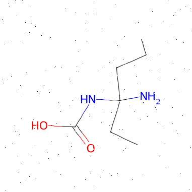 CCCC(N)(CC)NC(=O)O